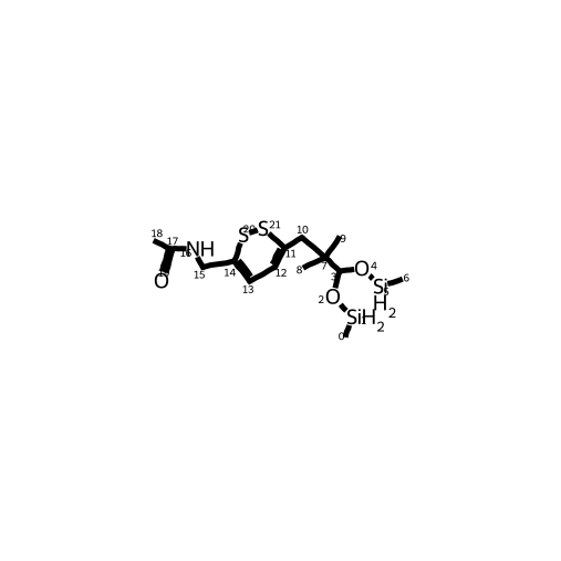 C[SiH2]OC(O[SiH2]C)C(C)(C)CC1=CC=C(CNC(C)=O)SS1